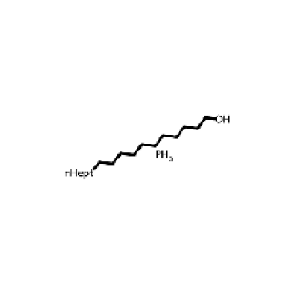 CCCCCCCCCCCCCCCCCCO.P